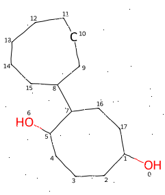 OC1CCCC(O)C(C2CCCCCCC2)CC1